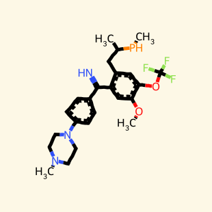 COc1cc(C(=N)c2ccc(N3CCN(C)CC3)cc2)c(CC(C)PC)cc1OC(F)(F)F